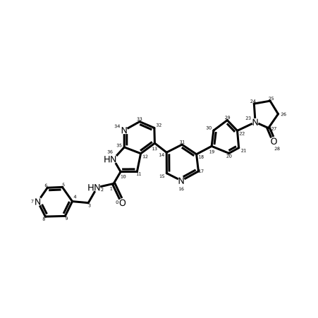 O=C(NCc1ccncc1)c1cc2c(-c3cncc(-c4ccc(N5CCCC5=O)cc4)c3)ccnc2[nH]1